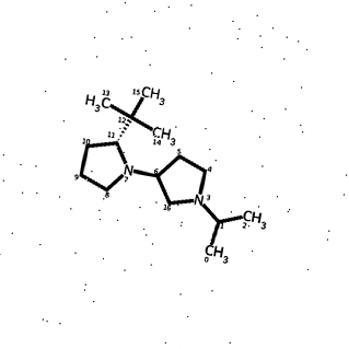 CC(C)N1CCC(N2CCC[C@@H]2C(C)(C)C)C1